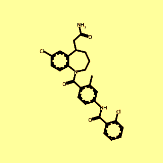 Cc1cc(NC(=O)c2ccccc2Cl)ccc1C(=O)N1CCCC(CC(N)=O)c2cc(Cl)ccc21